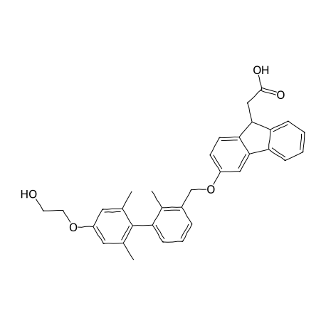 Cc1cc(OCCO)cc(C)c1-c1cccc(COc2ccc3c(c2)-c2ccccc2C3CC(=O)O)c1C